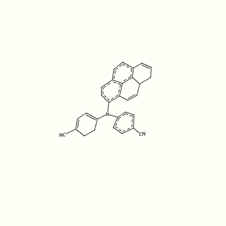 N#CC1=CC=C(N(c2ccc(C#N)cc2)c2ccc3ccc4c5c3c2C=CC5CC=C4)CC1